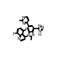 Cc1nccc(-c2cc(-c3nnc[nH]3)c3nc(C)n(-c4ccnc5c(F)ccc(F)c45)c3c2)n1